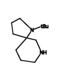 CC(C)(C)N1CCCC12CCCNC2